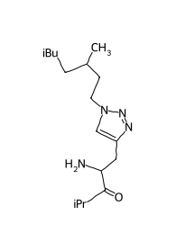 CCC(C)CC(C)CCn1cc(CC(N)C(=O)C(C)C)nn1